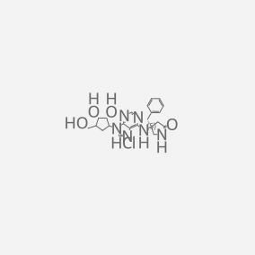 Cl.O=C1C[C@](Cc2ccccc2)(Nc2ncnc3c2ncn3C2CC(CO)C(O)C2O)CN1